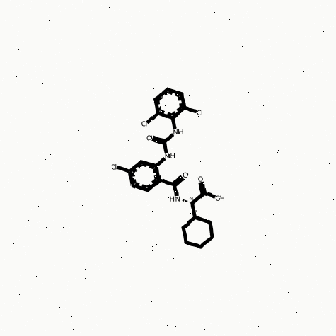 O=C(Nc1cc(Cl)ccc1C(=O)N[C@H](C(=O)O)C1CCCCC1)Nc1c(Cl)cccc1Cl